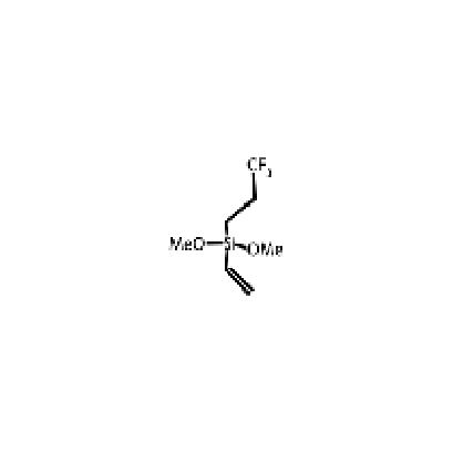 C=C[Si](CCC(F)(F)F)(OC)OC